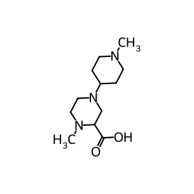 CN1CCC(N2CCN(C)C(C(=O)O)C2)CC1